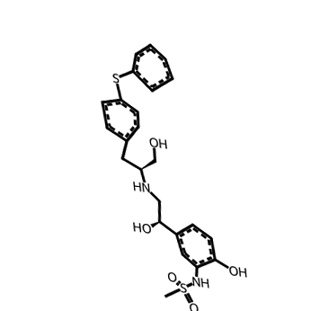 CS(=O)(=O)Nc1cc([C@@H](O)CN[C@H](CO)Cc2ccc(Sc3ccccc3)cc2)ccc1O